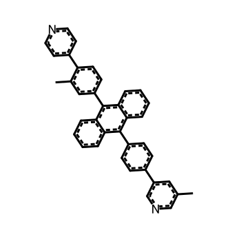 Cc1cncc(-c2ccc(-c3c4ccccc4c(-c4ccc(-c5ccncc5)c(C)c4)c4ccccc34)cc2)c1